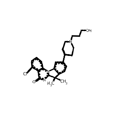 CC1(C)c2ccc(C3CCN(CCCO)CC3)cc2-n2c1nc(=O)c1c(Cl)cccc12